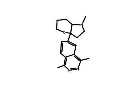 Cc1nnc(C)c2cc(C34CCCCC3N(C)CC4)ccc12